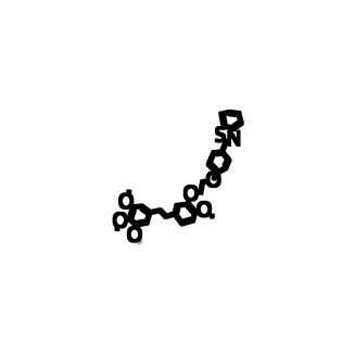 COc1ccc(CCc2cc(OC)c(OC)c(OC)c2)cc1OCCOc1ccc(-c2nc3ccccc3s2)cc1